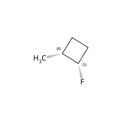 C[C@@H]1CC[C@@H]1F